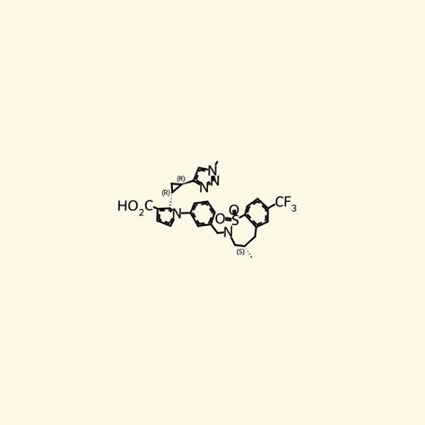 C[C@H]1Cc2cc(C(F)(F)F)ccc2S(=O)(=O)N(Cc2cccc(-n3ccc(C(=O)O)c3[C@@H]3C[C@H]3c3cn(C)nn3)c2)C1